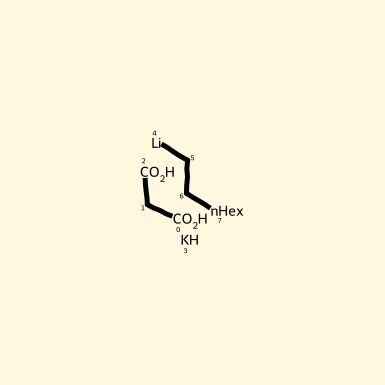 O=C(O)CC(=O)O.[KH].[Li][CH2]CCCCCCC